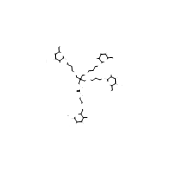 CO[C@H]1OC(CSCCNC(=S)NCC(COCCCS[C@@H]2OC(CO)[C@@H](O)[C@H](O)C2O)(COCCCS[C@@H]2OC(CO)[C@@H](O)[C@H](O)C2O)COCCCS[C@@H]2OC(CO)[C@@H](O)[C@H](O)C2O)C(C)[C@H](O)C1O